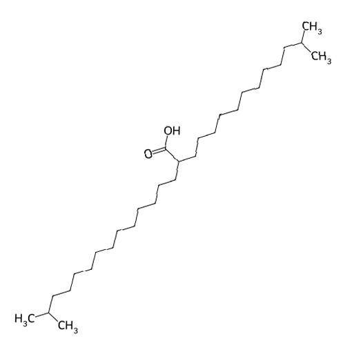 CC(C)CCCCCCCCCCCCC(CCCCCCCCCCC(C)C)C(=O)O